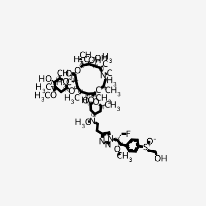 CC[C@H]1OC(=O)[C@H](C)[C@@H](O[C@H]2C[C@@](C)(OC)[C@@H](O)[C@H](C)O2)[C@H](C)[C@@H](O[C@H]2C[C@@H](N(C)CCc3cn([C@H](CF)[C@H](OC)c4ccc([S+]([O-])CCO)cc4)nn3)C[C@@H](C)O2)[C@](C)(O)C[C@@H](C)CN(C)[C@H](C)[C@@H](O)[C@]1(C)O